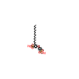 CCCCCCCCCCCCCCCCc1cc(Oc2ccc(S(=O)(=O)O)cc2)ccc1S(=O)(=O)O